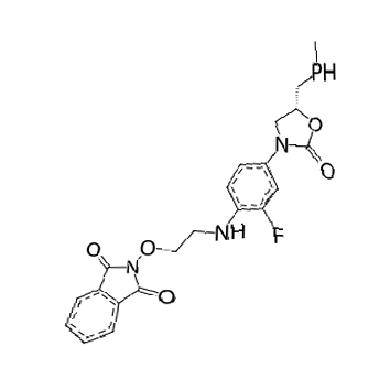 CPC[C@H]1CN(c2ccc(NCCON3C(=O)c4ccccc4C3=O)c(F)c2)C(=O)O1